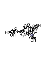 Nc1nc(/C(=N/OC2(C(=O)O)CC2)C(=O)N[C@@H]2C(=O)N(S(=O)(=O)O)[C@@H]2CNC(=O)c2cc([C@@H]3CCN(CCNC(=O)c4ccc(O)c(O)c4Cl)C3)no2)cs1